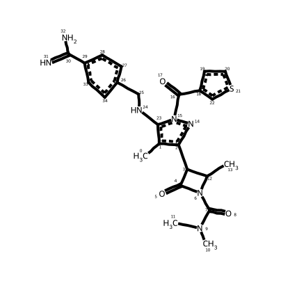 Cc1c(C2C(=O)N(C(=O)N(C)C)C2C)nn(C(=O)c2ccsc2)c1NCc1ccc(C(=N)N)cc1